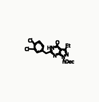 CCCCCCCCCCn1nc(CC)c2c(=O)[nH]c(Cc3ccc(Cl)c(Cl)c3)nc21